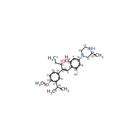 CCC(=O)/C(=C\c1c(C)cc(N2CCN[C@@H](C)C2)cc1F)c1ccc(OC)c(C(C)C)c1